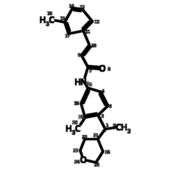 C[C](c1ccc(NC(=O)/C=C/c2cccc(C)c2)cc1C)C1CCOCC1